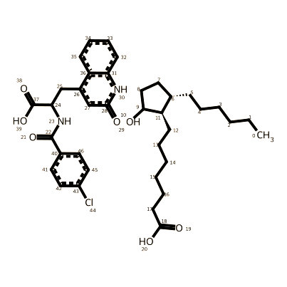 CCCCCC[C@H]1CCC(O)[C@@H]1CCCCCCC(=O)O.O=C(NC(Cc1cc(=O)[nH]c2ccccc12)C(=O)O)c1ccc(Cl)cc1